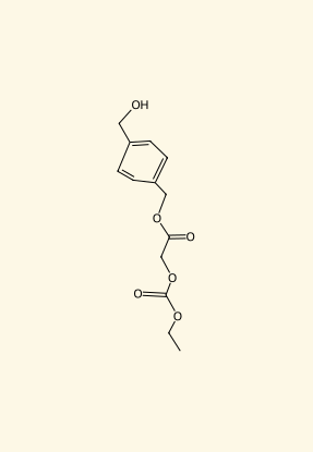 CCOC(=O)OCC(=O)OCc1ccc(CO)cc1